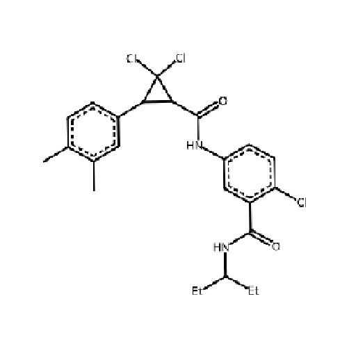 CCC(CC)NC(=O)c1cc(NC(=O)C2C(c3ccc(C)c(C)c3)C2(Cl)Cl)ccc1Cl